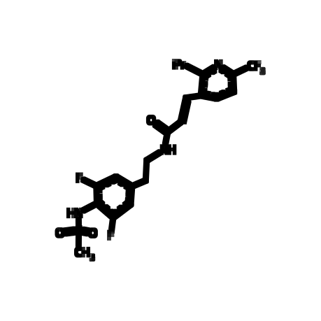 CC(C)c1nc(C(F)(F)F)ccc1C=CC(=O)NCCc1cc(F)c(NS(C)(=O)=O)c(F)c1